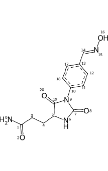 NC(=O)CCC1NC(=O)N(c2ccc(C=NO)cc2)C1=O